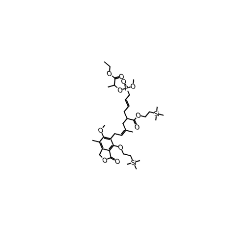 CCOC(=O)C(C)OP(=O)(CC=CCC(CC(C)=CCc1c(OC)c(C)c2c(c1OCC[Si](C)(C)C)C(=O)OC2)C(=O)OCC[Si](C)(C)C)OC